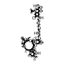 CC[C@H]1OC(=O)[C@H](C)[C@@H](OC2C[C@@](C)(OC)[C@@H](OCCNCCOCCOCCNc3cc4c(=O)c(C(=O)O)cn(C5CC5)c4cc3Cl)[C@H](C)O2)[C@H](C)[C@@H](O[C@@H]2O[C@H](C)C[C@H](N(C)C)[C@H]2O)[C@](C)(O)C[C@@H](C)CN(C)[C@H](C)[C@@H]2OC(=O)O[C@]12C